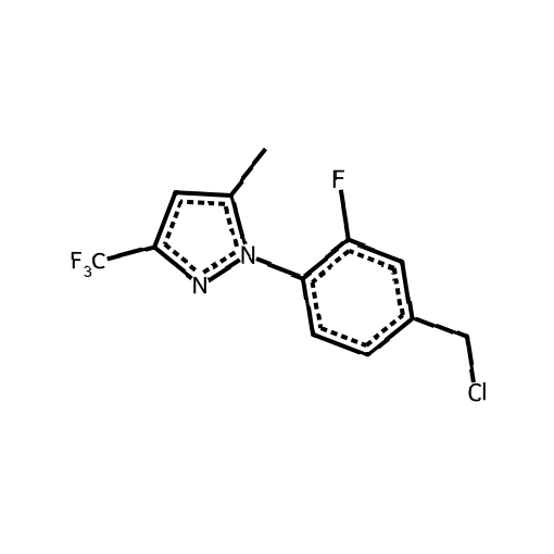 Cc1cc(C(F)(F)F)nn1-c1ccc(CCl)cc1F